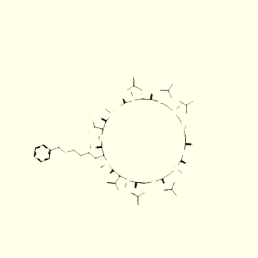 CC(C)C[C@@H]1C(=O)N[C@H](CC(C)C)C(=O)N(C)C(C(C)C)C(=O)N(C)C([C@H](O)[C@H](C)CCNCc2ccccc2)C(=O)NC([C@@H](C)O)C(=O)N(C)CC(=O)N(C)[C@@H](CC(C)C)C(=O)N[C@H](CC(C)C)N(C)[C@H](CC(C)C)N[C@H](C)C(=O)OC(=O)N1C